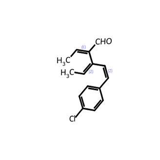 C/C=C(/C=C\c1ccc(Cl)cc1)C(\C=O)=C/C